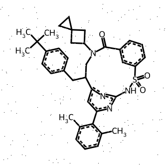 Cc1cccc(C)c1-c1cc2nc(n1)NS(=O)(=O)c1cccc(c1)C(=O)N(C1CC3(CC3)C1)CC2Cc1ccc(C(C)(C)C)cc1